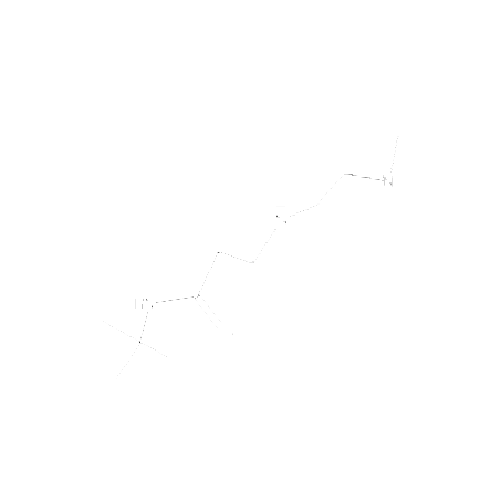 CC(C)(C)NC(=O)CCNCCNI